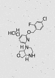 Cl.Cl.Fc1cc(Cl)ccc1COc1cccc(N2CCN[C@H]3COC[C@H]32)n1